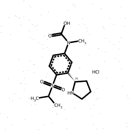 CC(C)S(=O)(=O)c1ccc(N(C)C(=O)O)cc1[C@@H]1CCCN1.Cl